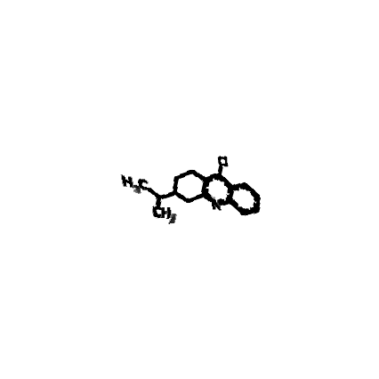 CC(C)C1CCc2c(nc3ccccc3c2Cl)C1